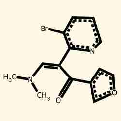 CN(C)C=C(C(=O)c1ccoc1)c1ncccc1Br